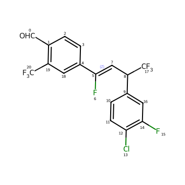 O=Cc1ccc(/C(F)=C/C(c2ccc(Cl)c(F)c2)C(F)(F)F)cc1C(F)(F)F